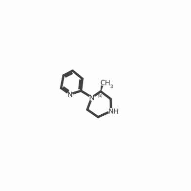 C[C@H]1CNCCN1c1ccccn1